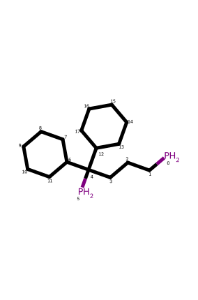 PCCCC(P)(C1CCCCC1)C1CCCCC1